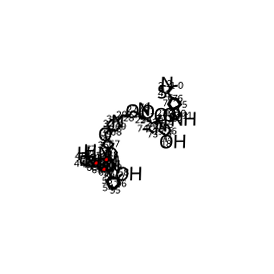 Cc1ncsc1-c1ccc([C@H](C)NC(=O)[C@@H]2C[C@@H](O)CN2C(=O)[C@H](c2cc(OCCN3CCC(OC4CC(Oc5cc(N6C7CC[C@@H]6CN(c6cc(-c8ccccc8O)nnc6N)C7)ccn5)C4)CC3)no2)C(C)C)cc1